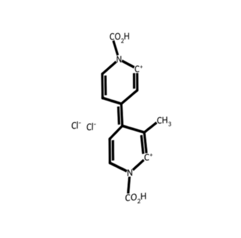 CC1=[C+]N(C(=O)O)C=CC1=C1C=[C+]N(C(=O)O)C=C1.[Cl-].[Cl-]